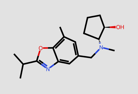 Cc1cc(CN(C)[C@@H]2CCC[C@H]2O)cc2nc(C(C)C)oc12